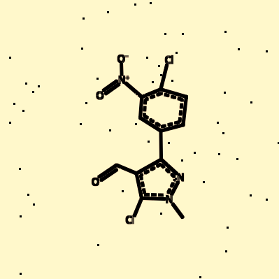 Cn1nc(-c2ccc(Cl)c([N+](=O)[O-])c2)c(C=O)c1Cl